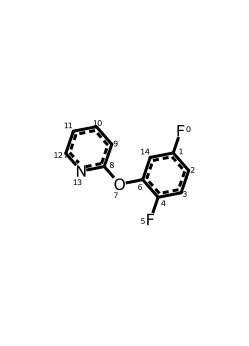 Fc1ccc(F)c(Oc2ccc[c]n2)c1